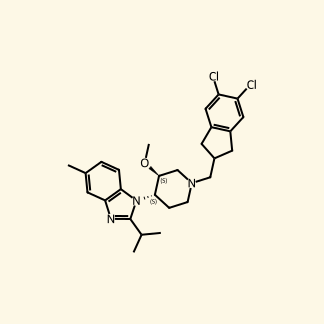 CO[C@H]1CN(CC2Cc3cc(Cl)c(Cl)cc3C2)CC[C@@H]1n1c(C(C)C)nc2cc(C)ccc21